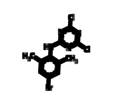 Cc1cc(Br)cc(C)c1Nc1nc(Cl)nc(Cl)n1